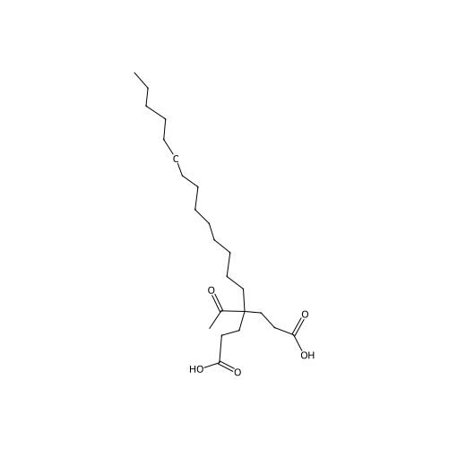 CCCCCCCCCCCCCCC(CCC(=O)O)(CCC(=O)O)C(C)=O